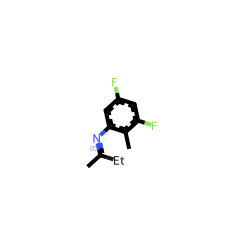 CC/C(C)=N\c1cc(F)cc(F)c1C